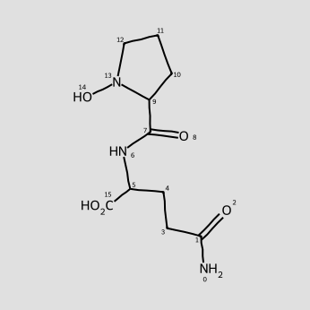 NC(=O)CCC(NC(=O)C1CCCN1O)C(=O)O